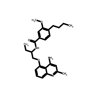 CCCCc1ccc(C(=O)NC(CC)COc2cccc3nc(C)cc(N)c23)cc1OC